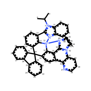 CC(C)n1c2[n+](c3ccccc31)[N+]13c4c-2cccc4C2(c4ccccc4-c4ccccc42)c2ccc4c5ncccc5n5c6ccccc6[n+]1c5c4c23